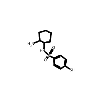 NC1CCCCC1NS(=O)(=O)c1ccc(S)cc1